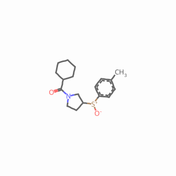 Cc1ccc([S+]([O-])C2CCN(C(=O)C3CCCCC3)C2)cc1